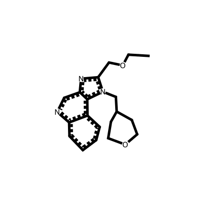 CCOCc1nc2cnc3ccccc3c2n1CC1CCOCC1